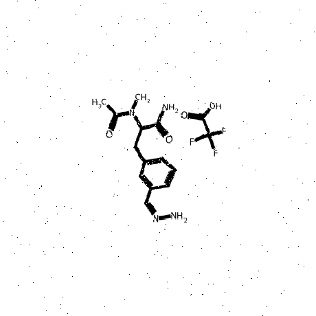 CC(=O)N(C)C(Cc1cccc(/C=N\N)c1)C(N)=O.O=C(O)C(F)(F)F